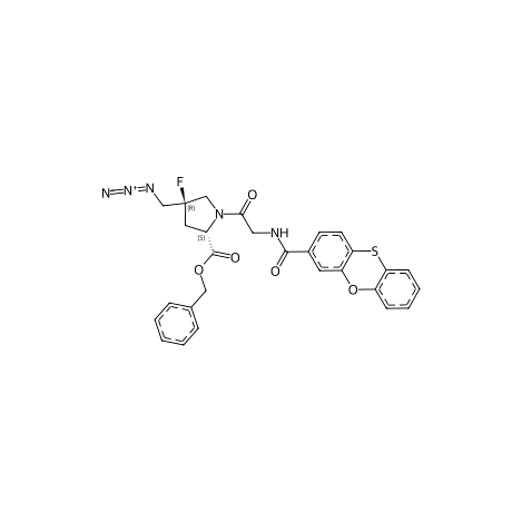 [N-]=[N+]=NC[C@@]1(F)C[C@@H](C(=O)OCc2ccccc2)N(C(=O)CNC(=O)c2ccc3c(c2)Oc2ccccc2S3)C1